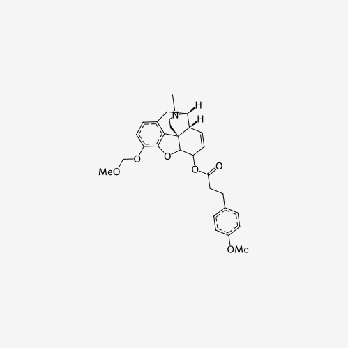 COCOc1ccc2c3c1OC1C(OC(=O)CCc4ccc(OC)cc4)C=C[C@H]4[C@@H](C2)N(C)CC[C@]314